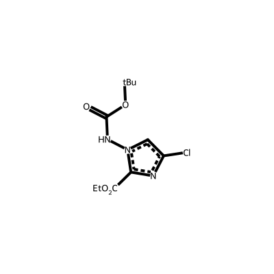 CCOC(=O)c1nc(Cl)cn1NC(=O)OC(C)(C)C